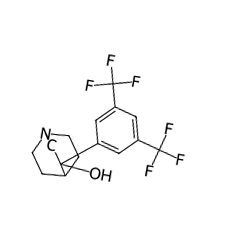 OC1(c2cc(C(F)(F)F)cc(C(F)(F)F)c2)CN2CCC1CC2